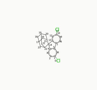 Clc1ccc2c(c1)-c1ccc(Cl)cc1C21C2CC3CC(C2)CC1C3